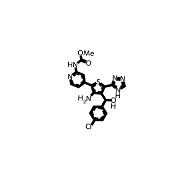 COC(=O)Nc1cc(-c2sc(-c3nnc[nH]3)c(C(O)c3ccc(Cl)cc3)c2N)ccn1